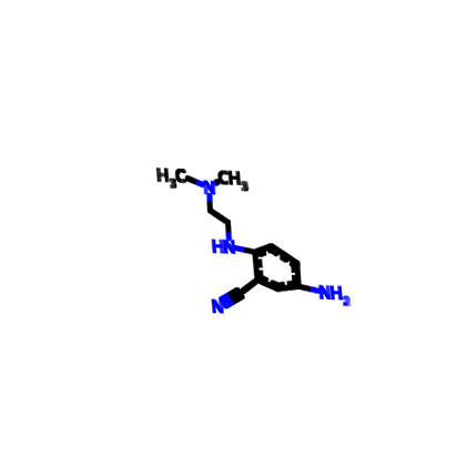 CN(C)CCNc1ccc(N)cc1C#N